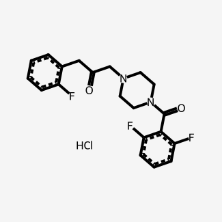 Cl.O=C(Cc1ccccc1F)CN1CCN(C(=O)c2c(F)cccc2F)CC1